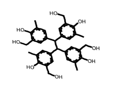 Cc1cc(C(c2cc(C)c(O)c(CO)c2)C(c2cc(C)c(O)c(CO)c2)c2cc(C)c(O)c(CO)c2)cc(CO)c1O